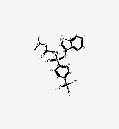 CC(C)OC(=O)NS(=O)(=Nc1c[nH]c2ccccc12)c1ccc(C(F)(F)F)cc1